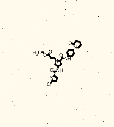 CCOC(=O)CCN1CC(NC(=O)c2ccc(Cl)s2)CC1C(=O)Nc1ccc(-n2ccccc2=O)cc1